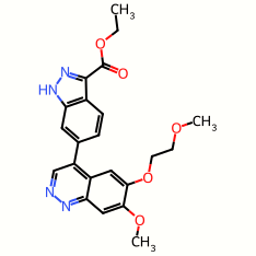 CCOC(=O)c1n[nH]c2cc(-c3cnnc4cc(OC)c(OCCOC)cc34)ccc12